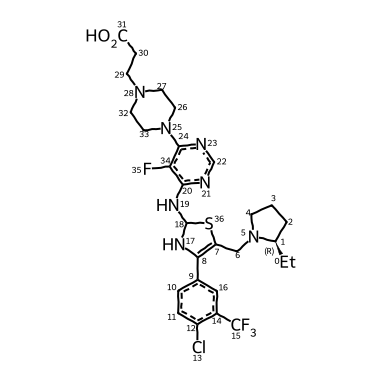 CC[C@@H]1CCCN1CC1=C(c2ccc(Cl)c(C(F)(F)F)c2)NC(Nc2ncnc(N3CCN(CCC(=O)O)CC3)c2F)S1